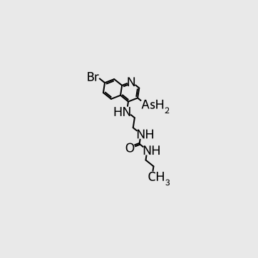 CCCNC(=O)NCCNc1c([AsH2])cnc2cc(Br)ccc12